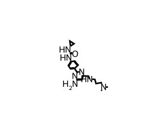 CN(C)CCCNCc1cc(N)nc(-c2ccc(NC(=O)NC3CC3)cc2)n1